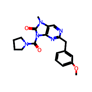 COc1cccc(Cc2ncc3c(n2)n(C(=O)N2CCCC2)c(=O)n3C)c1